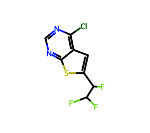 FC(F)C(F)c1cc2c(Cl)ncnc2s1